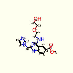 COC(=O)c1ccc2nc(Cn3ccnc3)nc(NCCOCCO)c2c1